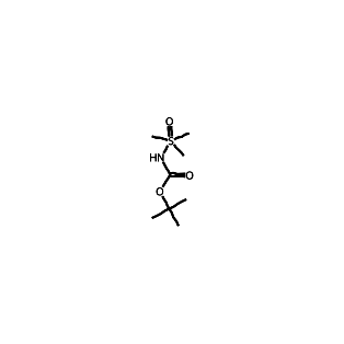 CC(C)(C)OC(=O)NS(C)(C)(C)=O